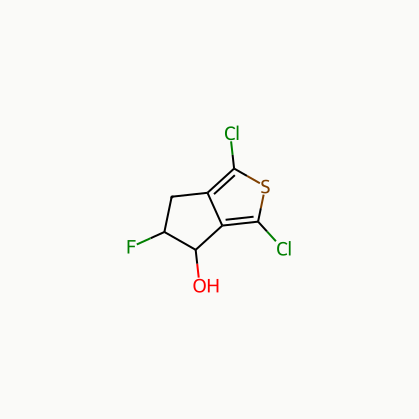 OC1c2c(Cl)sc(Cl)c2CC1F